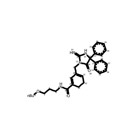 CCCCOCCCNC(=O)C1=CC(CN2C(=N)NC(c3ccccc3)(c3ccccc3)C2=O)=CCC1